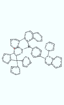 c1ccc(-c2ccc3ccccc3c2N(c2ccc(-c3ccc4ccccc4c3-c3ccccc3)cc2)c2ccc3c(c2)C(c2ccccc2)(c2ccccc2)c2ccccc2-3)cc1